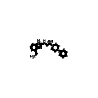 Br.CCc1cccc2[nH]c(NCCN3CCN(c4ccccc4)CC3)nc12